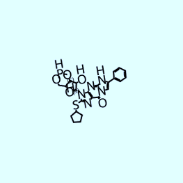 O=c1c2nc(SC3CCCC3)n([C@@H]3OC4COPO[C@H]4C3O)c2nc2[nH]c(-c3ccccc3)cn12